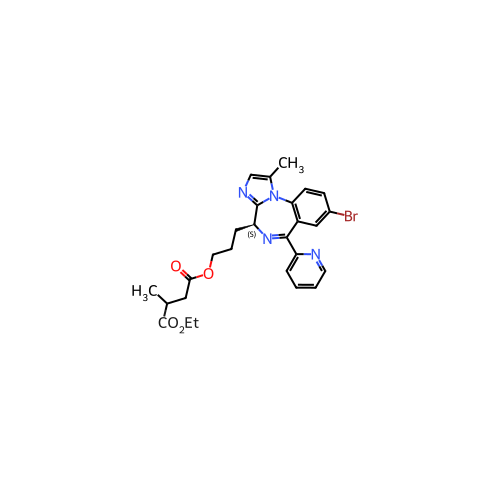 CCOC(=O)C(C)CC(=O)OCCC[C@@H]1N=C(c2ccccn2)c2cc(Br)ccc2-n2c(C)cnc21